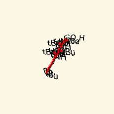 CC(C)(C)OC(=O)CCCCCCCCCCCCCCCCC(=O)N[C@@H](CCC(=O)N[C@@H](CCC(=O)N[C@@H](CCC(=O)N[C@@H](CCC(=O)O)C(=O)OC(C)(C)C)C(=O)OC(C)(C)C)C(=O)OC(C)(C)C)C(=O)OC(C)(C)C